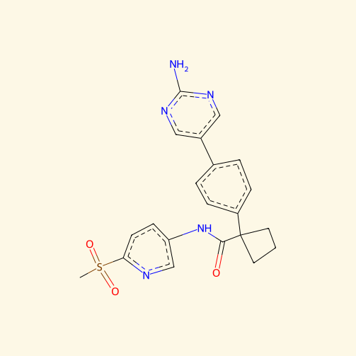 CS(=O)(=O)c1ccc(NC(=O)C2(c3ccc(-c4cnc(N)nc4)cc3)CCC2)cn1